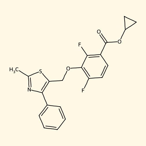 Cc1nc(-c2ccccc2)c(COc2c(F)ccc(C(=O)OC3CC3)c2F)s1